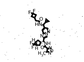 Cc1nonc1C(=O)NC(c1cn2ncc([C@H](NC(=O)CC3CC(F)(F)C3)C3CC3)cc2n1)[C@@H]1C[C@@H]2[C@H](C1)C2(F)F